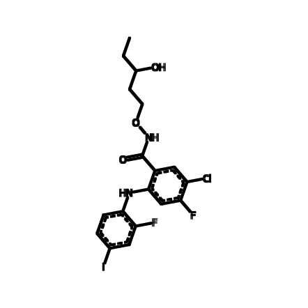 CCC(O)CCONC(=O)c1cc(Cl)c(F)cc1Nc1ccc(I)cc1F